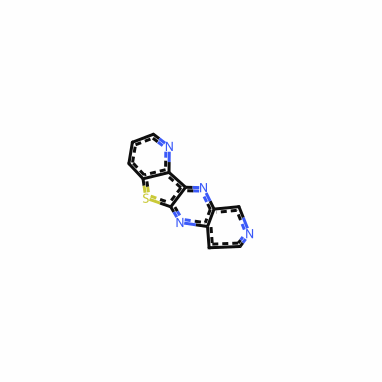 c1cnc2c(c1)sc1nc3ccncc3nc12